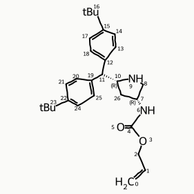 C=CCOC(=O)N[C@H]1CN[C@@H](C(c2ccc(C(C)(C)C)cc2)c2ccc(C(C)(C)C)cc2)C1